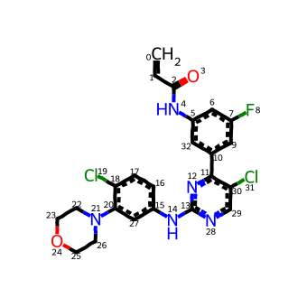 C=CC(=O)Nc1cc(F)cc(-c2nc(Nc3ccc(Cl)c(N4CCOCC4)c3)ncc2Cl)c1